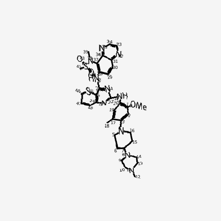 COc1cc(N2CCC(N3CCN(C)CC3)CC2)c(C)cc1Nc1nc2c(c(Nc3ccc4nccnc4c3N(C)S(C)(=O)=O)n1)SCC=C2